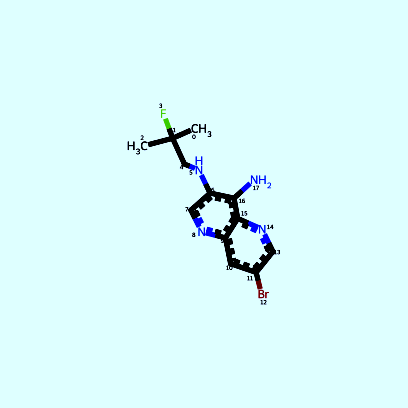 CC(C)(F)CNc1cnc2cc(Br)cnc2c1N